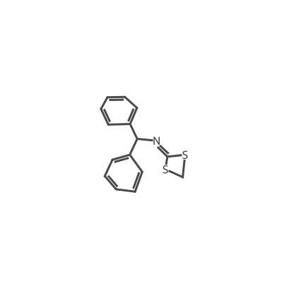 c1ccc(C(N=C2SCS2)c2ccccc2)cc1